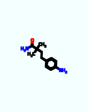 CC(C)(CCc1ccc(N)cc1)C(N)=O